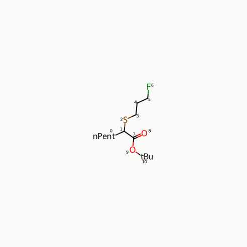 CCCCCC(SCCCF)C(=O)OC(C)(C)C